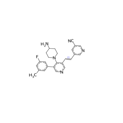 Cc1cc(F)cc(-c2cncc(/C=C/c3cncc(C#N)c3)c2N2CCC(N)CC2)c1